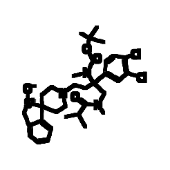 CC(C)C(=O)N(C)CC(CCN1CCC2(CC1)c1ccccc1C[S+]2[O-])(c1ccc(Cl)c(Cl)c1)N(C)C(=O)OC(C)(C)C